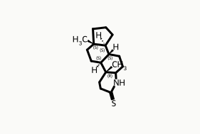 C[C@@]12CCC[C@H]1[C@@H]1CCC3NC(=S)CC[C@]3(C)[C@H]1CC2